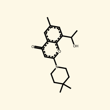 Cc1cc(C(C)O)c2oc(N3CCC(C)(C)CC3)cc(=O)c2c1